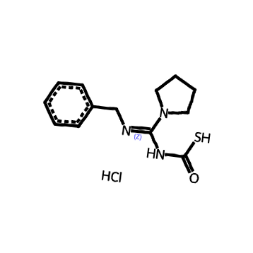 Cl.O=C(S)N/C(=N/Cc1ccccc1)N1CCCC1